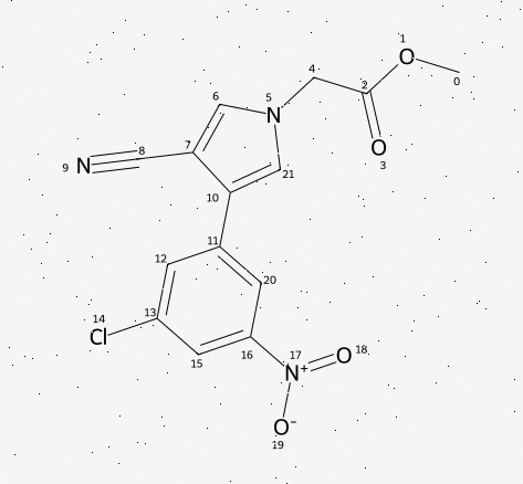 COC(=O)Cn1cc(C#N)c(-c2cc(Cl)cc([N+](=O)[O-])c2)c1